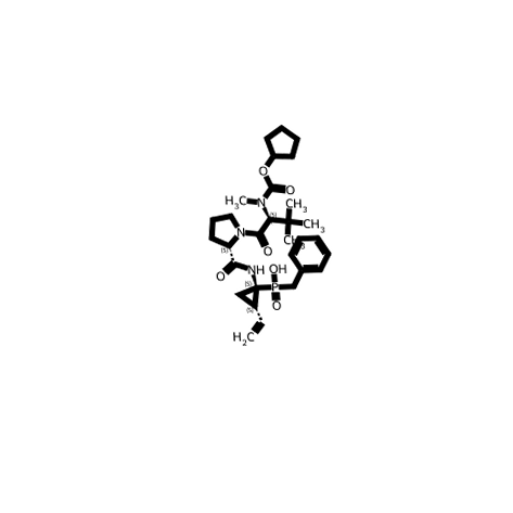 C=C[C@@H]1C[C@]1(NC(=O)[C@@H]1CCCN1C(=O)[C@@H](N(C)C(=O)OC1CCCC1)C(C)(C)C)P(=O)(O)Cc1ccccc1